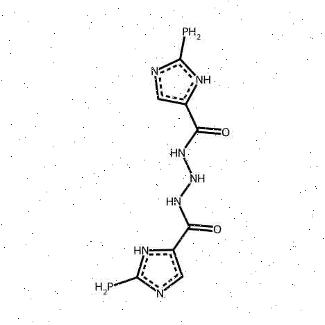 O=C(NNNC(=O)c1cnc(P)[nH]1)c1cnc(P)[nH]1